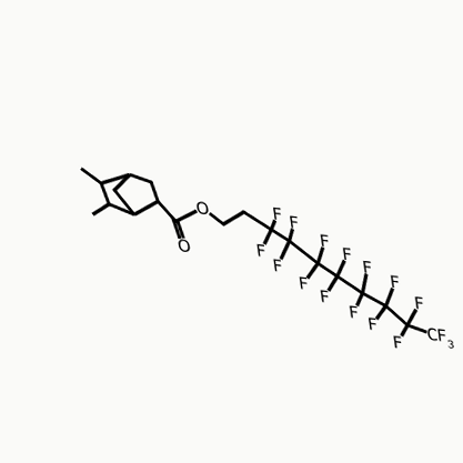 CC1C2CC(C(=O)OCCC(F)(F)C(F)(F)C(F)(F)C(F)(F)C(F)(F)C(F)(F)C(F)(F)C(F)(F)F)C(C2)C1C